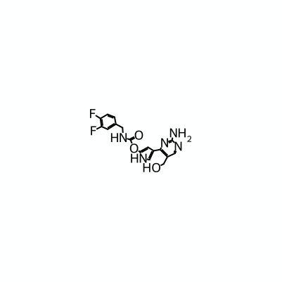 Nc1ncc(CO)c(-c2c[nH]c(OC(=O)NCc3ccc(F)c(F)c3)c2)n1